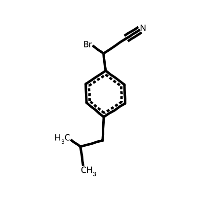 CC(C)Cc1ccc(C(Br)C#N)cc1